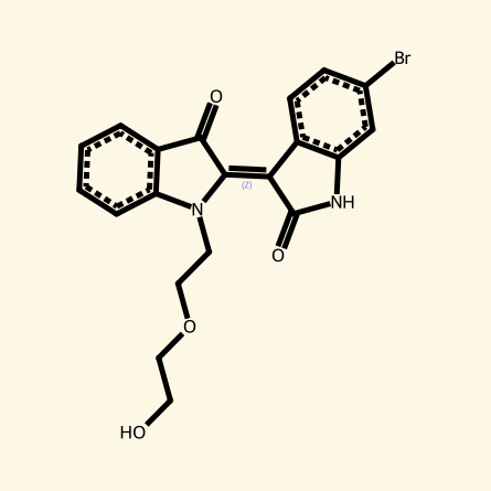 O=C1Nc2cc(Br)ccc2/C1=C1\C(=O)c2ccccc2N1CCOCCO